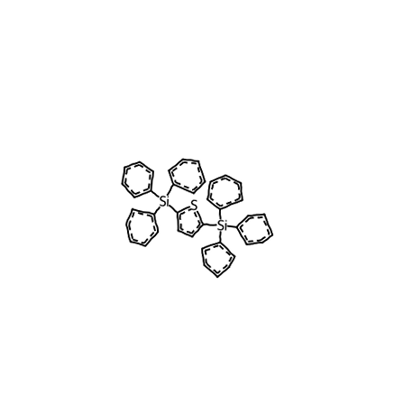 c1ccc([Si](c2ccccc2)(c2ccccc2)c2ccc([Si](c3ccccc3)(c3ccccc3)c3ccccc3)s2)cc1